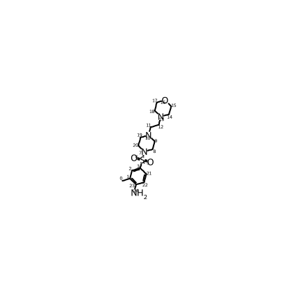 Cc1cc(S(=O)(=O)N2CCN(CCN3CCOCC3)CC2)ccc1N